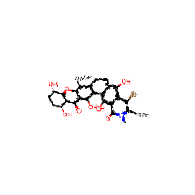 CCCc1c(Br)c2c(O)c3ccc4c(OC)c5oc6c(c(=O)c5c(O)c4c3c(O)c2c(=O)n1C)[C@@H](O)CC[C@@H]6O